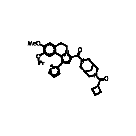 COc1cc2c(cc1OC(C)C)-c1c(-c3cccs3)cc(C(=O)N3CC4CC(C3)CN(C(=O)C3CCC3)C4)n1CC2